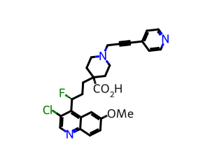 COc1ccc2ncc(Cl)c([C@@H](F)CCC3(C(=O)O)CCN(CC#Cc4ccncc4)CC3)c2c1